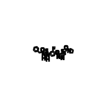 O=C(Cc1ccccc1)NC(=S)Nc1ccc(Oc2ncnc3cc(C(=O)N4CCCC4)sc23)c(F)c1